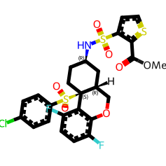 COC(=O)c1sccc1S(=O)(=O)N[C@@H]1CC[C@@]2(S(=O)(=O)c3ccc(Cl)cc3)c3c(F)ccc(F)c3OC[C@H]2C1